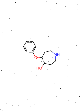 OC1CCNCCC1Oc1ccccc1